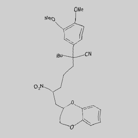 CCC(C)C(C#N)(CCCC(CC1COc2ccccc2O1)[N+](=O)[O-])c1ccc(OC)c(OC)c1